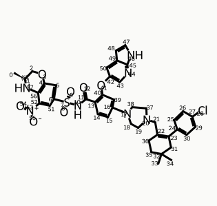 C[C@H]1COc2cc(S(=O)(=O)NC(=O)c3ccc(N4CCN(CC5=C(c6ccc(Cl)cc6)CC(C)(C)CC5)CC4)cc3Oc3cnc4[nH]ccc4c3)cc([N+](=O)[O-])c2N1